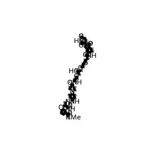 CNC(=O)c1ccccc1Nc1nc(Nc2ccc(N3CCN(C(=O)NCCOCC(O)COCCOCCC(=O)Nc4ccc5c(c4)CN(C4CCC(=O)NC4=O)C5=O)CC3)cc2)ncc1Cl